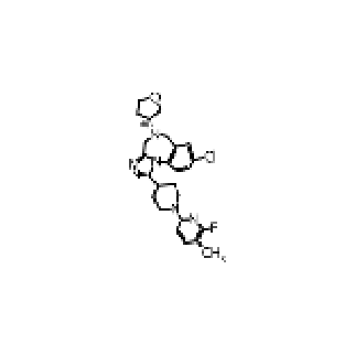 Cc1ccc(N2CCC(c3nnc4n3-c3ccc(Cl)cc3CN([C@@H]3CCOC3)C4)CC2)nc1F